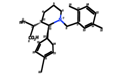 CCCC(C(=O)O)[C@@H]1CCCN(Cc2cc(C)ccc2C)[C@H]1C1C=CC(C)=CC1